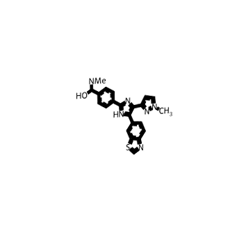 CNC(O)c1ccc(-c2nc(-c3ccn(C)n3)c(-c3ccc4ncsc4c3)[nH]2)cc1